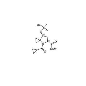 COC(=O)[C@H]1C[C@H](O[Si](C)(C)C(C)(C)C)C2(CC2)N1C(=O)C1CC1